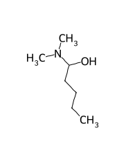 CCCCC(O)N(C)C